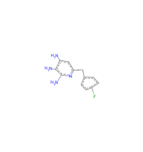 Nc1cc(Cc2ccc(F)cc2)nc(N)c1N